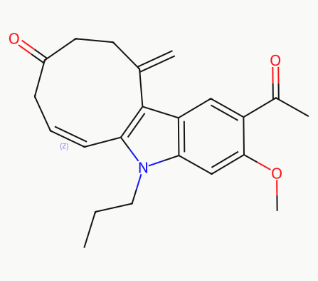 C=C1CCC(=O)C/C=C\c2c1c1cc(C(C)=O)c(OC)cc1n2CCC